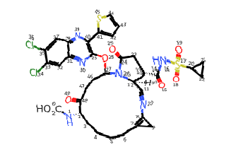 O=C(O)N[C@H]1CCCCC2=C(C2)/N=C\[C@@H]2[C@@H](C(=O)NS(=O)(=O)C3CC3)CC(=O)N2[C@H](Oc2nc3cc(Cl)c(Cl)cc3nc2-c2cccs2)CCC1=O